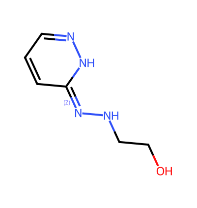 OCCN/N=c1/cccn[nH]1